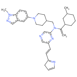 C=C(C1CCCC(C)C1)N(CC1CCN(c2ccc3c(cnn3C)c2)CC1)c1cncc(/C=C/C2=NC=CC2)n1